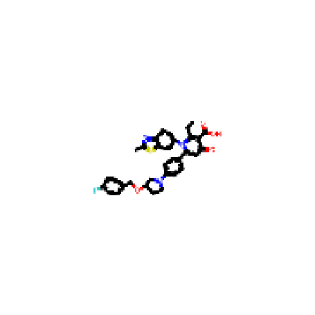 CCc1c(C(=O)O)c(=O)cc(-c2ccc(N3CCC(OCc4ccc(F)cc4)C3)cc2)n1-c1ccc2nc(C)sc2c1